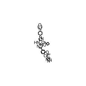 C[C@@H](Cn1cnnn1)Oc1cc(-c2cnc(Nc3cn([C@H]4CC[C@H](N5CCOCC5)CC4)nc3OCC3(O)CCC3)nc2)ccc1Cl